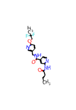 CCCC(=O)Nc1cc(C(=O)NCc2ccc(OCC(C)(F)F)nc2)ccn1